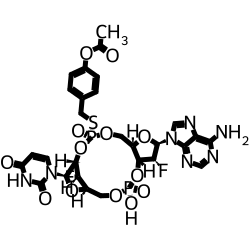 CC(=O)Oc1ccc(CSP2(=O)OC[C@H]3O[C@@H](n4cnc5c(N)ncnc54)[C@H](F)[C@@H]3OP(=O)(O)OC[C@H]3O[C@@H](n4ccc(=O)[nH]c4=O)[C@H](O2)[C@@H]3F)cc1